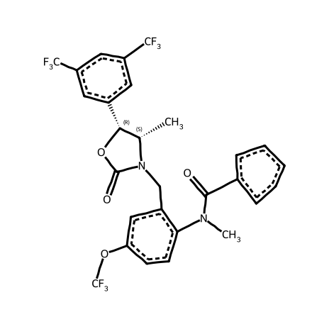 C[C@H]1[C@@H](c2cc(C(F)(F)F)cc(C(F)(F)F)c2)OC(=O)N1Cc1cc(OC(F)(F)F)ccc1N(C)C(=O)c1ccccc1